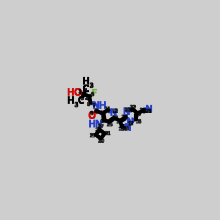 CC(C)(O)C(F)CNC(=O)c1cnc(-c2cnn3cc(C#N)cnc23)cc1NC1CCC1